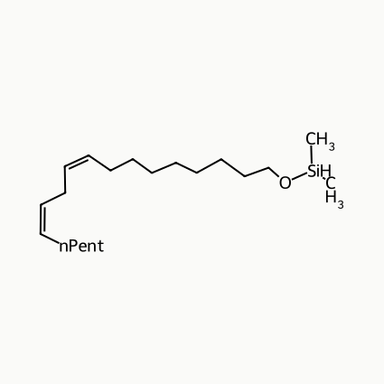 CCCCC/C=C\C/C=C\CCCCCCCCO[SiH](C)C